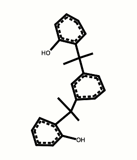 CC(C)(c1cccc(C(C)(C)c2ccccc2O)c1)c1ccccc1O